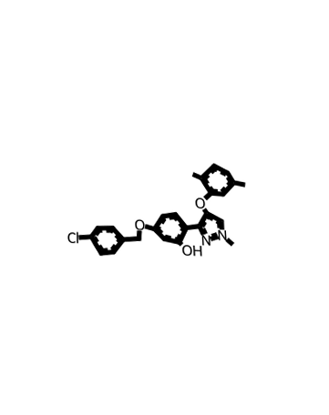 Cc1ccc(C)c(Oc2cn(C)nc2-c2ccc(OCc3ccc(Cl)cc3)cc2O)c1